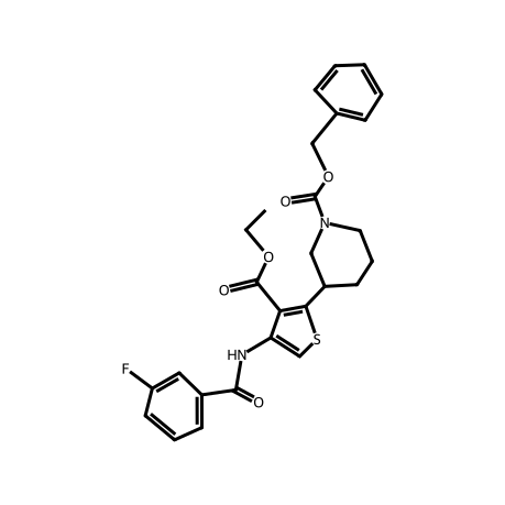 CCOC(=O)c1c(NC(=O)c2cccc(F)c2)csc1C1CCCN(C(=O)OCc2ccccc2)C1